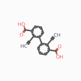 C#Cc1c(C(=O)O)cccc1-c1cccc(C(=O)O)c1C#C